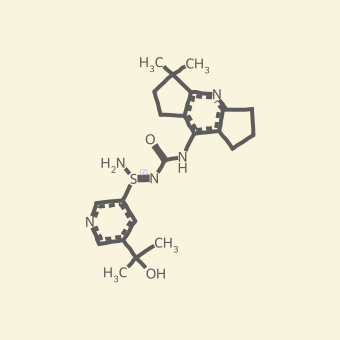 CC(C)(O)c1cncc(/S(N)=N/C(=O)Nc2c3c(nc4c2CCC4(C)C)CCC3)c1